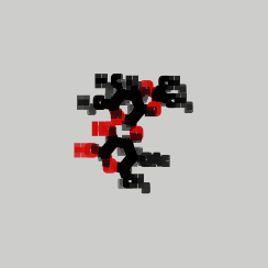 CC(=O)O[C@H]1C(C)OC(O)C(O)[C@@H]1O[C@@H]1OC(C)[C@H](C)[C@@H]2OC(C)(C)OC12